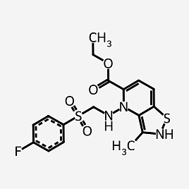 CCOC(=O)C1=CC=C2SNC(C)=C2N1NCS(=O)(=O)c1ccc(F)cc1